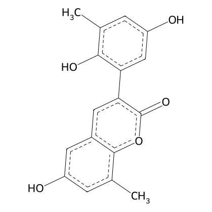 Cc1cc(O)cc(-c2cc3cc(O)cc(C)c3oc2=O)c1O